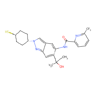 CC(C)(O)c1cc2nn([C@H]3CC[C@H](S)CC3)cc2cc1NC(=O)c1cccc(C(F)(F)F)n1